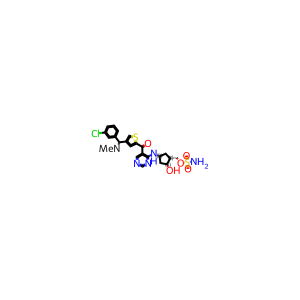 CNC(c1cccc(Cl)c1)c1csc(C(=O)c2cncnc2N[C@@H]2C[C@H](COS(N)(=O)=O)[C@@H](O)C2)c1